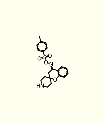 Cc1ccc(S(=O)(=O)ON=C2CC3(CCNCC3)Oc3ccccc32)cc1